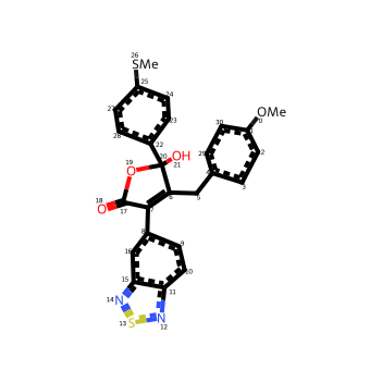 COc1ccc(CC2=C(c3ccc4nsnc4c3)C(=O)OC2(O)c2ccc(SC)cc2)cc1